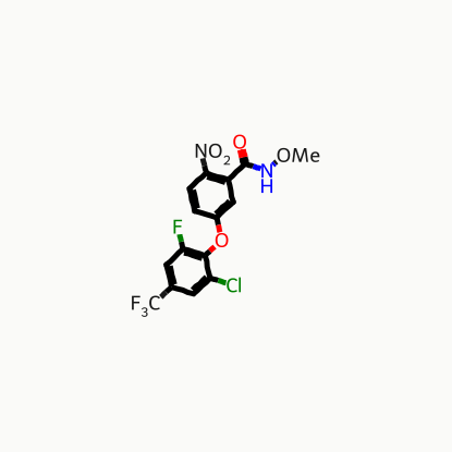 CONC(=O)c1cc(Oc2c(F)cc(C(F)(F)F)cc2Cl)ccc1[N+](=O)[O-]